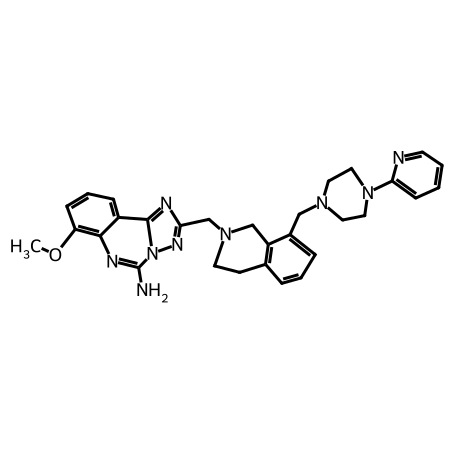 COc1cccc2c1nc(N)n1nc(CN3CCc4cccc(CN5CCN(c6ccccn6)CC5)c4C3)nc21